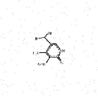 CC(=O)Nc1c(C)c(C(Br)C(C)C)c[nH]c1=O